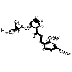 COc1ccc(C=CC(=O)c2ccccc2OCC=C(C)C)c(OC)c1